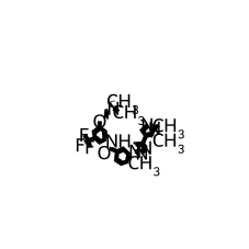 Cc1ccc(C(=O)Nc2cc(OCCN(C)C)cc(C(F)(F)F)c2)cc1-n1cc(-c2cnn(C)c2C)nn1